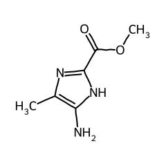 COC(=O)c1nc(C)c(N)[nH]1